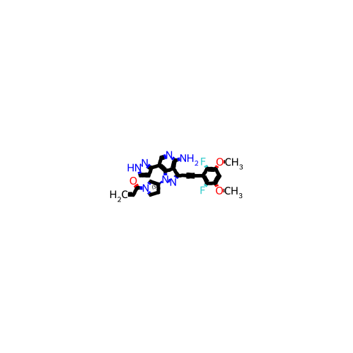 C=CC(=O)N1CC[C@H](n2nc(C#Cc3c(F)c(OC)cc(OC)c3F)c3c(N)ncc(-c4cc[nH]n4)c32)C1